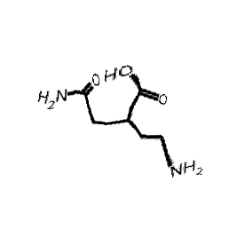 NCCC(CC(N)=O)C(=O)O